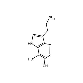 NCCc1c[nH]c2c(O)c(O)ccc12